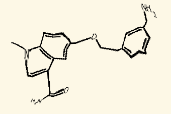 Cn1cc(C(N)=O)c2cc(OCc3cccc(N)c3)ccc21